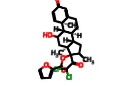 CC1C[C@H]2[C@@H]3CCC4=CC(=O)C=C[C@]4(C)[C@H]3C(O)C[C@]2(C)[C@@]1(OC(=O)c1ccco1)C(=O)C(Cl)Cl